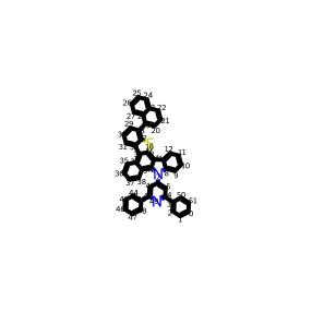 c1ccc(-c2cc(-n3c4ccccc4c4c5sc6c(-c7cccc8ccccc78)cccc6c5c5ccccc5c43)cc(-c3ccccc3)n2)cc1